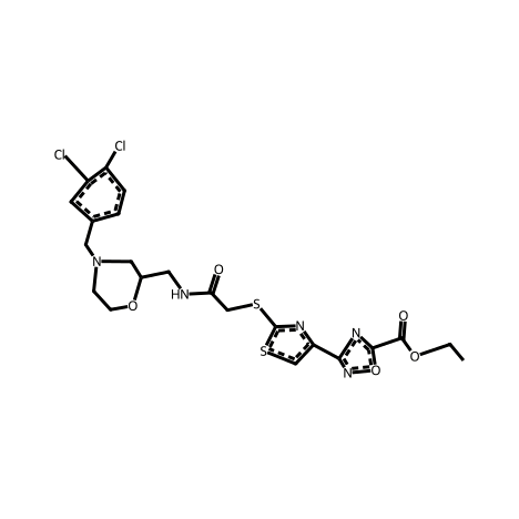 CCOC(=O)c1nc(-c2csc(SCC(=O)NCC3CN(Cc4ccc(Cl)c(Cl)c4)CCO3)n2)no1